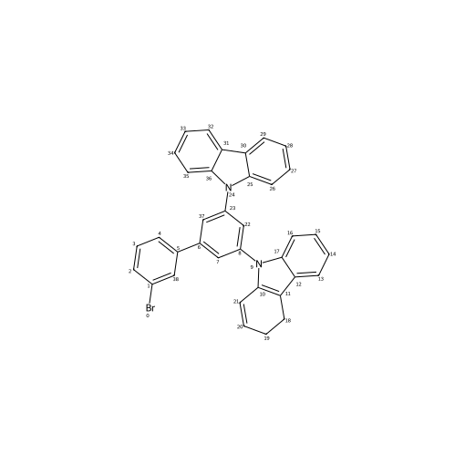 Brc1cccc(-c2cc(-n3c4c(c5ccccc53)CCC=C4)cc(-n3c4ccccc4c4ccccc43)c2)c1